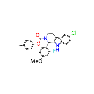 COc1ccc(C2c3[nH]c4ccc(Cl)cc4c3CCN2C(=O)Oc2ccc(C)cc2)c(F)c1